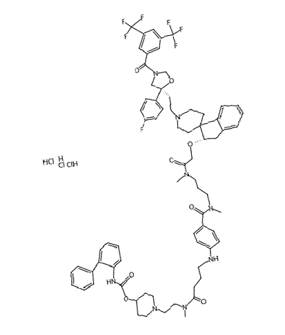 CN(CCN1CCC(OC(=O)Nc2ccccc2-c2ccccc2)CC1)C(=O)CCCNc1ccc(C(=O)N(C)CCCN(C)C(=O)CO[C@H]2Cc3ccccc3C23CCN(CC[C@]2(c4ccc(F)cc4)CN(C(=O)c4cc(C(F)(F)F)cc(C(F)(F)F)c4)CO2)CC3)cc1.Cl.Cl.Cl